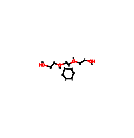 C1CCCCC1.OCCOCCOCCO